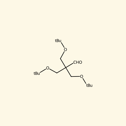 CC(C)(C)OCC(C=O)(COC(C)(C)C)COC(C)(C)C